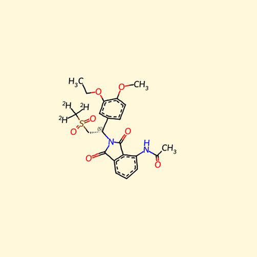 [2H]C([2H])([2H])S(=O)(=O)C[C@H](c1ccc(OC)c(OCC)c1)N1C(=O)c2cccc(NC(C)=O)c2C1=O